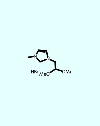 Br.COC(CN1C=CN(C)C1)OC